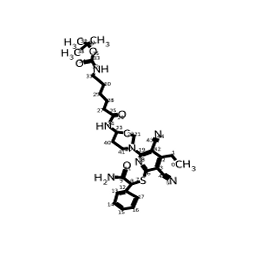 CCc1c(C#N)c(SC(C(N)=O)c2ccccc2)nc(N2CCC(NC(=O)CCCCCNC(=O)OC(C)(C)C)CC2)c1C#N